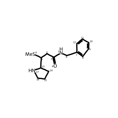 CSC(CC(=O)NCc1ccccc1)C1CCCN1